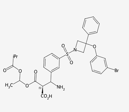 CC(OC(=O)C(C)C)OC(=O)[C@H](C(=O)O)C(N)c1cccc(S(=O)(=O)N2CC(Oc3cccc(Br)c3)(c3ccccc3)C2)c1